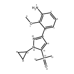 COc1c(N)cccc1-c1cc(P(C)(C)=O)n(C2CC2)n1